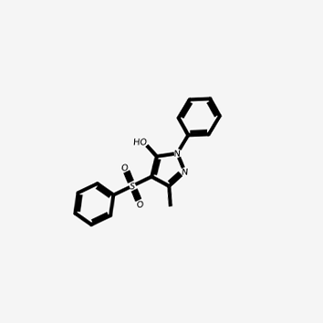 Cc1nn(-c2ccccc2)c(O)c1S(=O)(=O)c1ccccc1